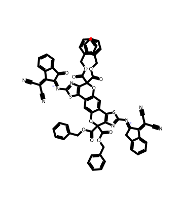 N#CC(C#N)=C1/C(=N/c2nc3c(s2)-c2cc4c(cc2OC3(C(=O)OCc2ccccc2)C(=O)OCc2ccccc2)-c2sc(/N=C3\C(=O)c5ccccc5C3=C(C#N)C#N)nc2C(C(=O)OCc2ccccc2)(C(=O)OCc2ccccc2)O4)Cc2ccccc21